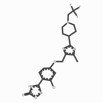 Cc1nc(C2CCN(CC(F)(F)F)CC2)sc1COc1ccc(-c2noc(=O)[nH]2)c(Cl)c1